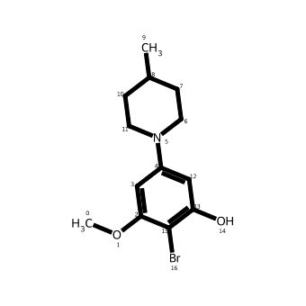 COc1cc(N2CCC(C)CC2)cc(O)c1Br